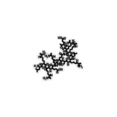 C=C(N)NCCCC(NC(=O)C(N)CC(C)C)C(=O)NC(CCCNC(=C)N)C(=O)NC(CCC(=O)O)C(=O)NC(CCCNC(=C)N)C(=O)NC(CCC(N)=O)C(=O)NC(CO)C(=O)NC(CCCNC(=C)N)C(=O)NC(CC(C)C)C(=O)NC(CCCNC(=C)N)C(=O)NC(CCCNC(=C)N)C(=O)NC(CCC(=O)O)C(C)=O